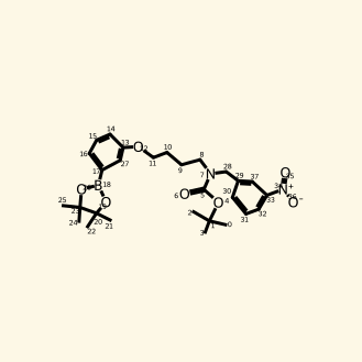 CC(C)(C)OC(=O)N(CCCCOc1cccc(B2OC(C)(C)C(C)(C)O2)c1)Cc1cccc([N+](=O)[O-])c1